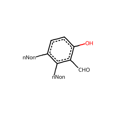 CCCCCCCCCc1ccc(O)c(C=O)c1CCCCCCCCC